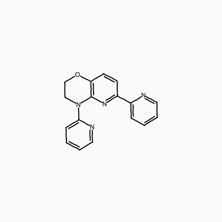 c1ccc(-c2ccc3c(n2)N(c2ccccn2)CCO3)nc1